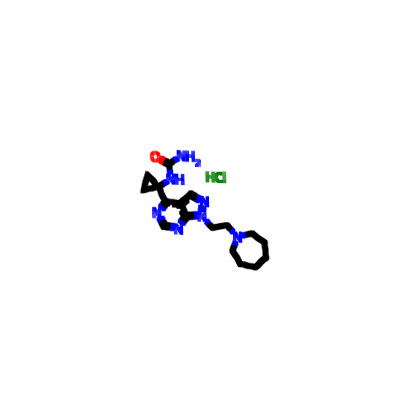 Cl.NC(=O)NC1(c2ncnc3c2cnn3CCN2CCCCCC2)CC1